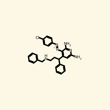 Nc1cc(C(CCNCc2ccccc2)c2ccccc2)c(/N=N/c2ccc(Cl)cc2)c(N)n1